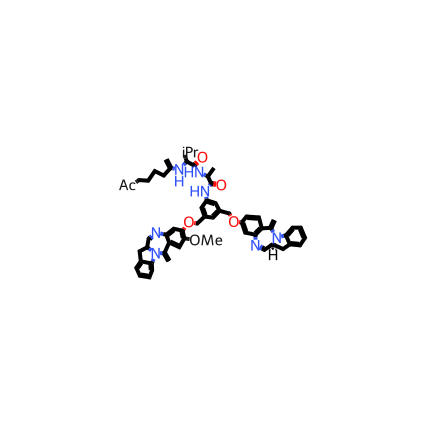 C=C(CCCCC(C)=O)NC(C(=O)NC(C)C(=O)Nc1cc(COc2ccc3c(c2)N=C[C@@H]2Cc4ccccc4N2C3=C)cc(COc2cc3c(cc2OC)C(=C)N2c4ccccc4CC2C=N3)c1)C(C)C